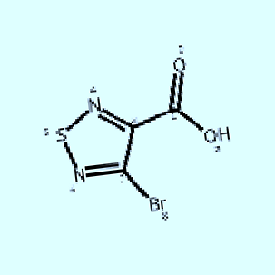 O=C(O)c1nsnc1Br